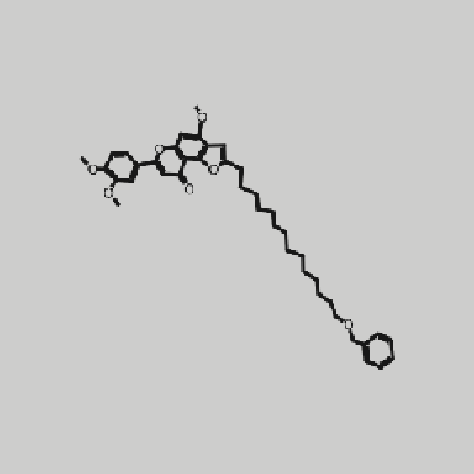 COc1ccc(-c2cc(=O)c3c(cc(OC)c4cc(CCCCCCCCCCCCCCOCc5ccccc5)oc43)o2)cc1OC